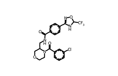 O=C(NCC1COCCN1C(=O)c1cccc(Cl)c1)c1ccc(C2=NOC(C(F)(F)F)N2)cc1